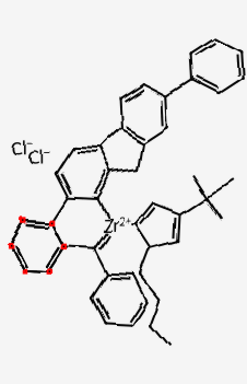 CCCCC1C=C(C(C)(C)C)C=[C]1[Zr+2](=[C](c1ccccc1)c1ccccc1)[c]1c(-c2ccccc2)ccc2c1Cc1cc(-c3ccccc3)ccc1-2.[Cl-].[Cl-]